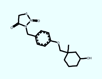 CC1(COc2ccc(CN3C(=O)CS[N+]3=O)cc2)CCCC(O)C1